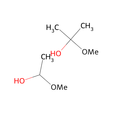 COC(C)(C)O.COC(C)O